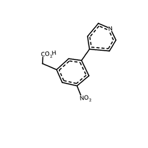 O=C(O)Cc1cc(-c2ccncc2)cc([N+](=O)[O-])c1